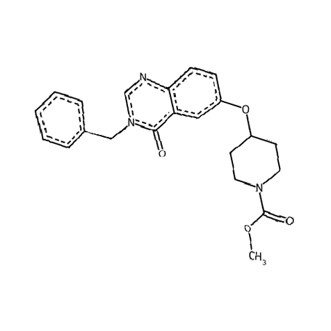 COC(=O)N1CCC(Oc2ccc3ncn(Cc4ccccc4)c(=O)c3c2)CC1